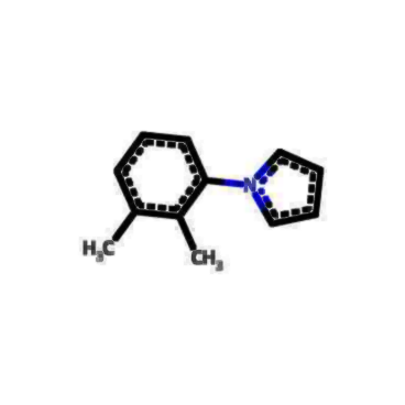 Cc1cccc(-n2cccc2)c1C